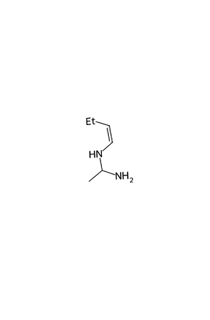 CC/C=C\NC(C)N